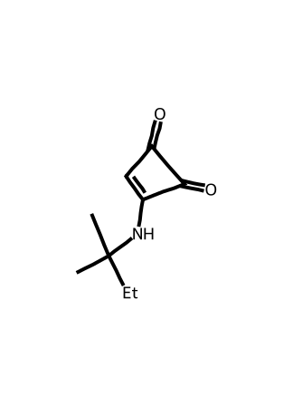 CCC(C)(C)Nc1cc(=O)c1=O